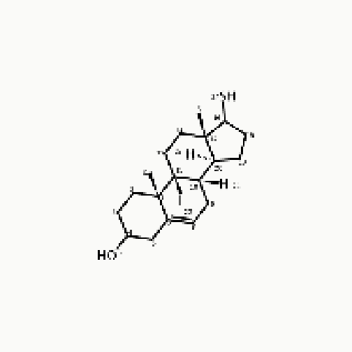 C[C@]12CCC(O)CC1=CC[C@@H]1[C@H]2CC[C@]2(C)C(S)CC[C@@H]12